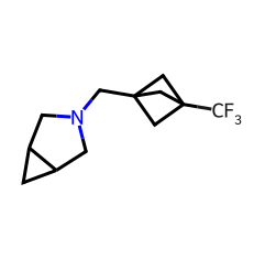 FC(F)(F)C12CC(CN3CC4CC4C3)(C1)C2